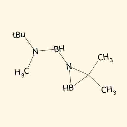 CN(BN1BC1(C)C)C(C)(C)C